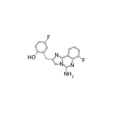 Nc1nc2c(F)cccc2c2nc(Cc3cc(F)ccc3O)cn12